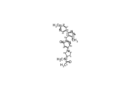 CC(=O)N(C)[C@@H]1CCN(c2cnn(Cc3c(-c4ccc(C)nc4)noc3C)c(=O)c2)C1